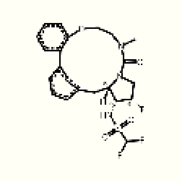 CN1CCOc2ccccc2-c2cccc(c2)C[C@H]2[C@@H](NS(=O)(=O)C(F)F)[C@@H](F)CN2C1=O